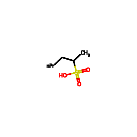 [CH2]CCCC(C)S(=O)(=O)O